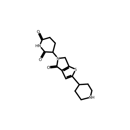 O=C1CCC(N2Cc3sc(C4CCNCC4)cc3C2=O)C(=O)N1